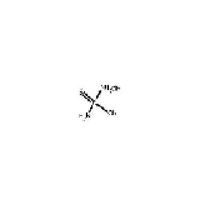 Cl.NP(N)(O)=S